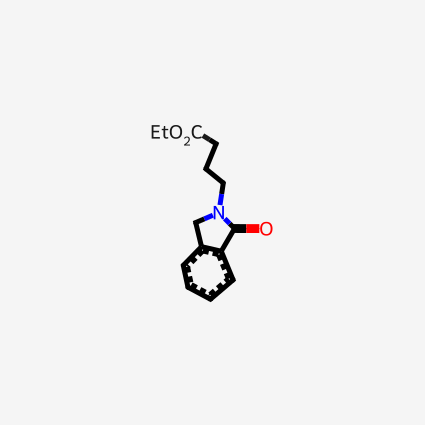 CCOC(=O)CCCN1Cc2ccccc2C1=O